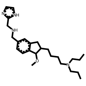 CCCN(CCC)CCCCC1Cc2cc(CNCc3ncc[nH]3)ccc2C1OC